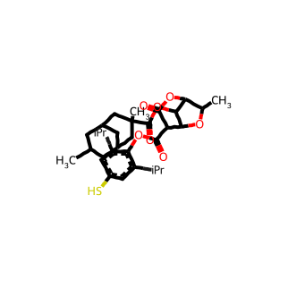 CC1CC2CC(C1)CC(C)(C(=O)OC1C3OC(=O)C(C(=O)Oc4c(C(C)C)cc(S)cc4C(C)C)C1OC3C)C2